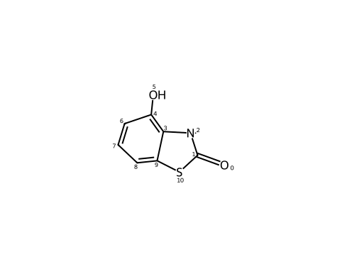 O=C1[N]c2c(O)cccc2S1